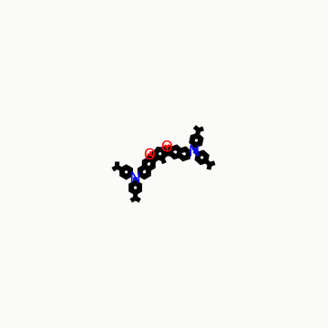 Cc1c2c(cc3oc4cc5cc(N(c6ccc(C(C)C)cc6)c6ccc(C(C)C)cc6)ccc5cc4c13)oc1cc3cc(N(c4ccc(C(C)C)cc4)c4ccc(C(C)C)cc4)ccc3cc12